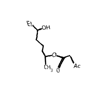 CCC(O)CCCC(C)OC(=O)CC(C)=O